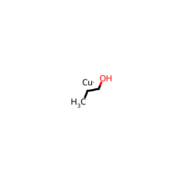 CCCO.[Cu]